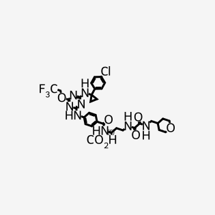 O=C(NCC[C@H](NC(=O)c1ccc(Nc2nc(NC3(c4ccc(Cl)cc4)CC3)nc(OCC(F)(F)F)n2)cc1)C(=O)O)C(=O)NCC1CCOCC1